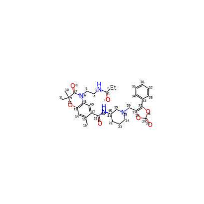 CCC(=O)NCCN1C(=O)C(C)(C)Oc2cc(C)c(C(=O)N[C@@H]3CCCN(Cc4oc(=O)oc4-c4ccccc4)C3)cc21